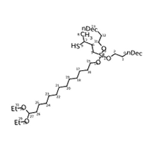 CCCCCCCCCCCCO[Si](CCC(C)S)(OCCCCCCCCCCCC)OCCCCCCCCCCCCC(OCC)OCC